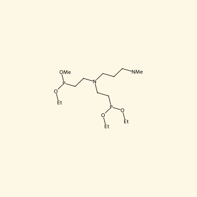 CCOP(CCN(CCCNC)CCP(OCC)OCC)OC